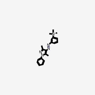 Cc1nn(-c2ccccc2)c(C)c1/N=N/c1cccc([N+](C)(C)C)c1